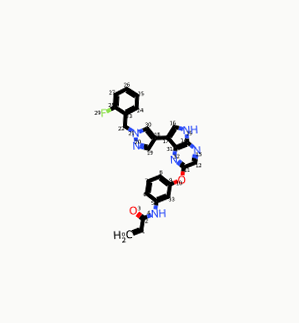 C=CC(=O)Nc1cccc(Oc2cnc3[nH]cc(-c4cnn(Cc5ccccc5F)c4)c3n2)c1